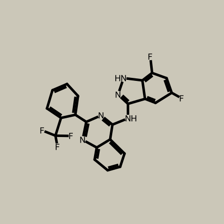 Fc1cc(F)c2[nH]nc(Nc3nc(-c4ccccc4C(F)(F)F)nc4ccccc34)c2c1